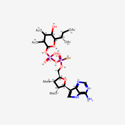 CN[C@H]1[C@@H](OC)[C@H](c2c[nH]c3c(N)ncnc23)O[C@@H]1COP(=O)(S)OP(=O)(O)OC1OC([C@H](COC(C)=O)OC(C)=O)C(O)C(OC(C)=O)C1OC(C)=O